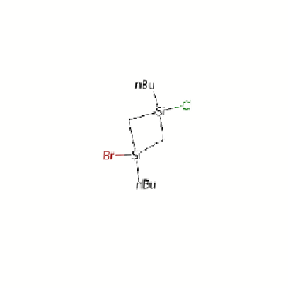 CCCC[Si]1(Cl)C[Si](Br)(CCCC)C1